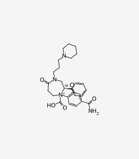 NC(=O)c1ccc([N+]2(C(=O)O)CCC(=O)N(CCCN3CCCCC3)C[C@H]2c2ccccc2)c(Cl)c1